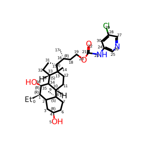 CC[C@@H]1C2C[C@H](O)CC[C@]2(C)[C@H]2CCC3(C)[C@@H]([C@H](C)CCOC(=O)Nc4cncc(Cl)c4)CC[C@H]3C2[C@@H]1O